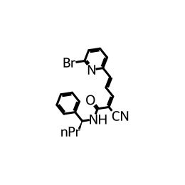 CCC[C@H](NC(=O)C(C#N)=CC=Cc1cccc(Br)n1)c1ccccc1